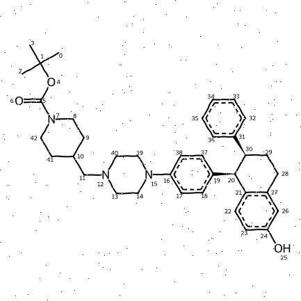 CC(C)(C)OC(=O)N1CCC(CN2CCN(c3ccc([C@@H]4c5ccc(O)cc5CC[C@@H]4c4ccccc4)cc3)CC2)CC1